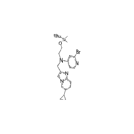 CC(C)(C)[Si](C)(C)OCCN(Cc1cn2cc(C3CC3)ccc2n1)c1ccnc(Br)c1